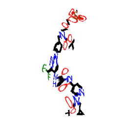 CC(C)(C)OC(=O)N(CCOCCOS(C)(=O)=O)Cc1ccc(-n2cc(NC(=O)c3coc(-c4ccnc(N(CC5CC5)C(=O)OC(C)(C)C)c4)n3)c(C(F)F)n2)cc1